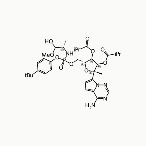 COC(O)[C@H](C)NP(=O)(OC[C@H]1O[C@@](C)(c2ccc3c(N)ncnn23)[C@H](OC(=O)C(C)C)[C@@H]1OC(=O)C(C)C)Oc1ccc(C(C)(C)C)cc1